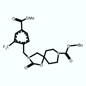 COC(=O)c1ccc(CN2CC3(CCN(C(=O)OC(C)(C)C)CC3)OC2=O)c(C(F)(F)F)c1